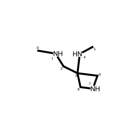 CNCC1(NC)CNC1